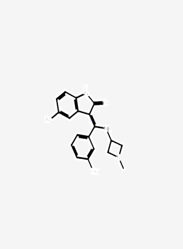 CN1CC(N/C(=C2\C(=O)Nc3ccc(Br)cc32)c2cccc(O)c2)C1